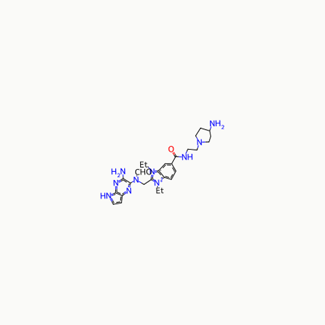 CCn1c(CN(C=O)c2nc3cc[nH]c3nc2N)[n+](CC)c2ccc(C(=O)NCCN3CCC(N)CC3)cc21